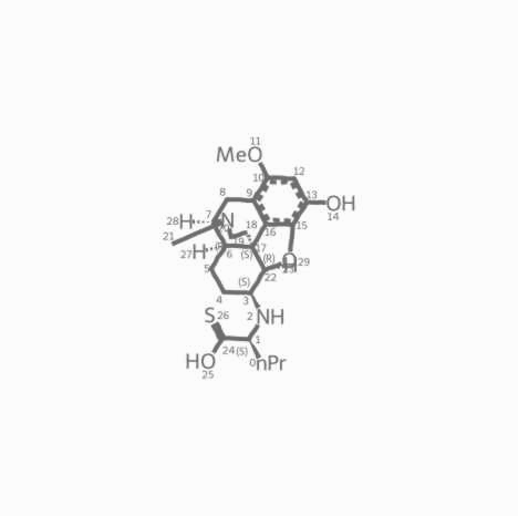 CCC[C@H](N[C@H]1CC[C@H]2[C@H]3Cc4c(OC)cc(O)c5c4[C@@]2(CCN3C)[C@H]1O5)C(O)=S